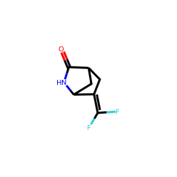 O=C1NC2CC1CC2=C(F)F